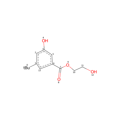 CC(C)(C)c1cc(O)cc(C(=O)OCCO)c1